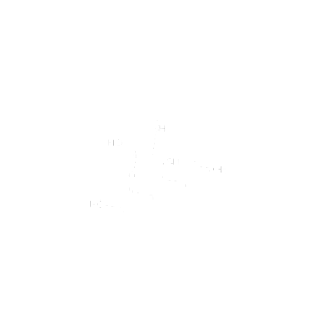 O=C(O)C(S)S.OCCCCCCO